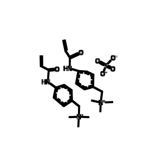 C=CC(=O)Nc1ccc(C[N+](C)(C)C)cc1.C=CC(=O)Nc1ccc(C[N+](C)(C)C)cc1.O=S(=O)([O-])[O-]